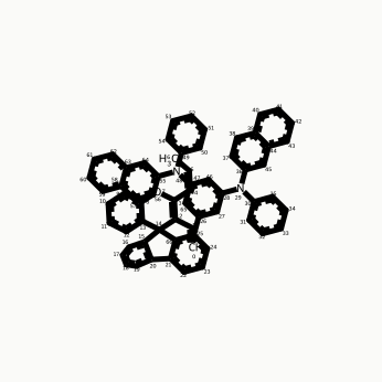 C=CC1=C(/C=C\C)Oc2ccccc2C12c1ccccc1-c1cccc(-c3cc(N(c4ccccc4)c4ccc5ccccc5c4)cc(N(c4ccccc4)c4ccc5ccccc5c4)c3)c12